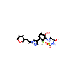 O=C1CN(c2c(O)ccc(-c3cnn(CCC4CCCOC4)c3)c2F)S(=O)(=O)N1